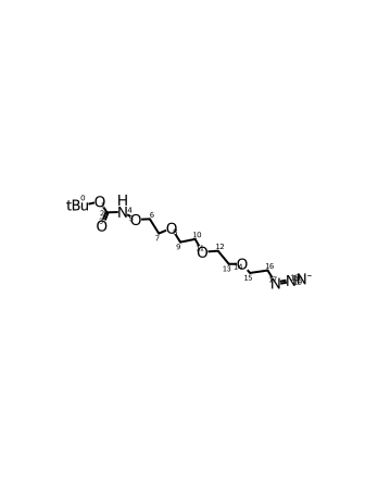 CC(C)(C)OC(=O)NOCCOCCOCCOCCN=[N+]=[N-]